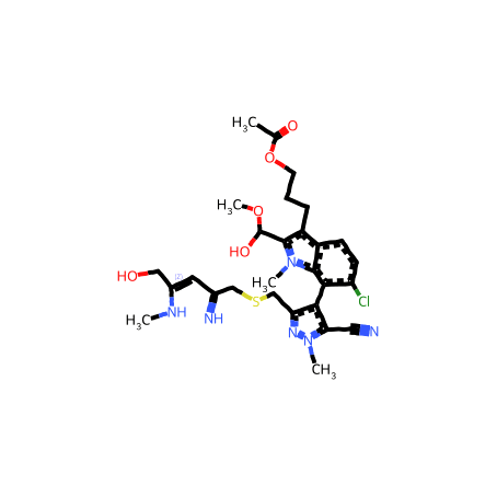 CN/C(=C\C(=N)CSCc1nn(C)c(C#N)c1-c1c(Cl)ccc2c(CCCOC(C)=O)c(C(O)OC)n(C)c12)CO